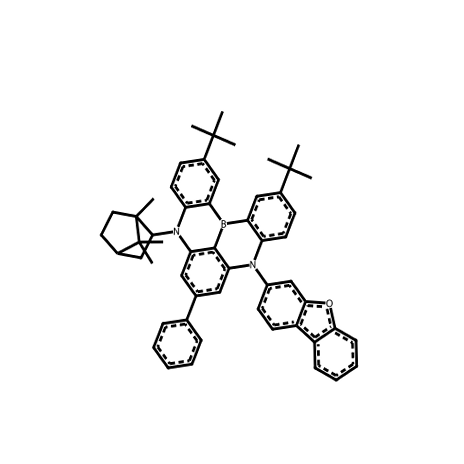 CC(C)(C)c1ccc2c(c1)B1c3cc(C(C)(C)C)ccc3N(C3CC4CCC3(C)C4(C)C)c3cc(-c4ccccc4)cc(c31)N2c1ccc2c(c1)oc1ccccc12